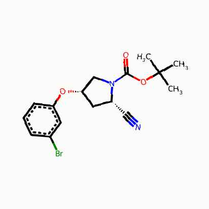 CC(C)(C)OC(=O)N1C[C@@H](Oc2cccc(Br)c2)C[C@H]1C#N